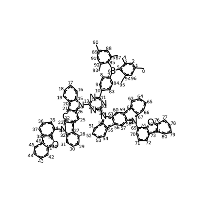 Cc1cc(C)c(B(c2ccc(-c3nc(-n4c5ccccc5c5cc6c(cc54)c4ccccc4n6-c4cccc5c4oc4ccccc45)nc(-n4c5ccccc5c5cc6c(cc54)c4ccccc4n6-c4cccc5c4oc4ccccc45)n3)cc2)c2c(C)cc(C)cc2C)c(C)c1